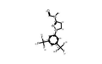 CN(C=O)C1=NN(c2cc(C(F)(F)F)cc(C(F)(F)F)c2)CC1